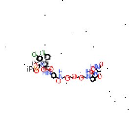 CC(C)[C@@H](CS(=O)(=O)C(C)C)N1C(O)[C@@](C)(CC(=O)Nc2ccc(C(=O)NCCOCCOCCOCCNc3cccc4c3C(=O)N(C3CCC(=O)NC3=O)C4=O)cc2)C[C@H](c2cccc(Cl)c2)[C@H]1c1ccc(Cl)cc1